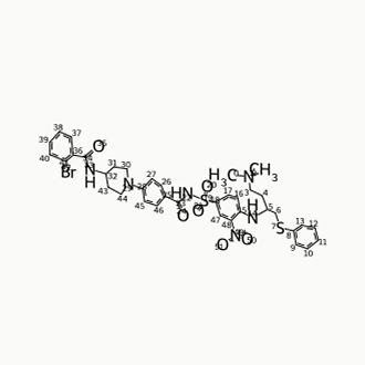 CN(C)CCC(CSc1ccccc1)Nc1ccc(S(=O)(=O)NC(=O)c2ccc(N3CCC(NC(=O)c4ccccc4Br)CC3)cc2)cc1[N+](=O)[O-]